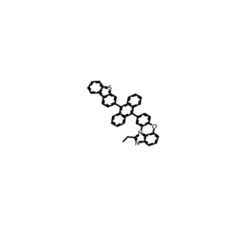 CCc1nc2cccc3c2n1-c1cc(-c2c4ccccc4c(-c4ccc5c(c4)sc4ccccc45)c4ccccc24)ccc1O3